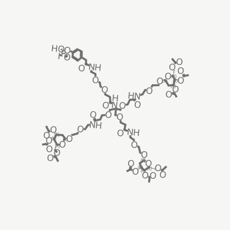 CC(=O)OC[C@H]1O[C@@H](OCCOCCNC(=O)CCOCC(COCCC(=O)NCCOCCO[C@H]2C[C@@H](OC(C)=O)[C@@H](OC(C)=O)[C@@H](COC(C)=O)O2)(COCCC(=O)NCCOCCO[C@H]2C[C@@H](OC(C)=O)[C@@H](OC(C)=O)[C@@H](COC(C)=O)O2)NC(=O)CCOCCOCCNC(=O)Cc2ccc(OP(=O)(O)I)cc2)C[C@@H](OC(C)=O)[C@H]1OC(C)=O